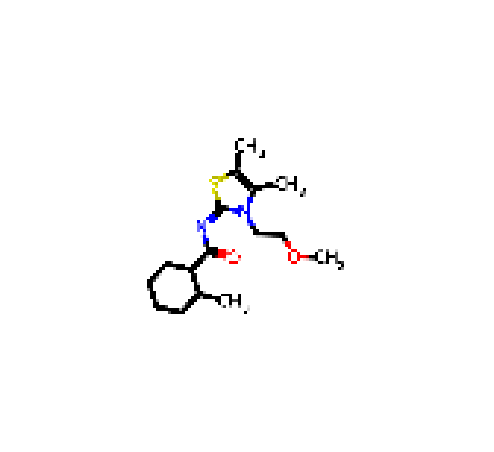 COCCn1c(C)c(C)sc1=NC(=O)C1CCCCC1C